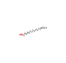 CCCCCCCCCCCCCCCCC[CH]CCCO